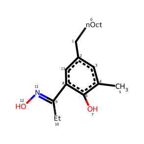 CCCCCCCCCc1cc(C)c(O)c(/C(CC)=N/O)c1